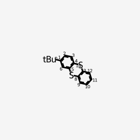 CC(C)(C)c1ccc2c(c1)Sc1ccccc1S2